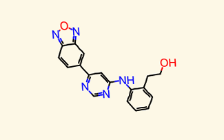 OCCc1ccccc1Nc1cc(-c2ccc3nonc3c2)ncn1